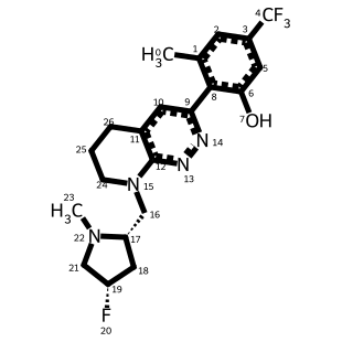 Cc1cc(C(F)(F)F)cc(O)c1-c1cc2c(nn1)N(C[C@@H]1C[C@H](F)CN1C)CCC2